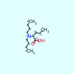 CCCCN(CCCC)[C@@H](CCC)C(=O)O